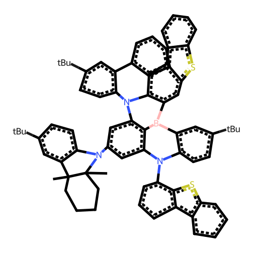 CC(C)(C)c1ccc2c(c1)B1c3cc4sc5ccccc5c4cc3N(c3ccc(C(C)(C)C)cc3-c3ccccc3)c3cc(N4c5ccc(C(C)(C)C)cc5C5(C)CCCCC45C)cc(c31)N2c1cccc2c1sc1ccccc12